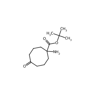 CC(C)(C)OC(=O)C1(N)CCCC(=O)CCC1